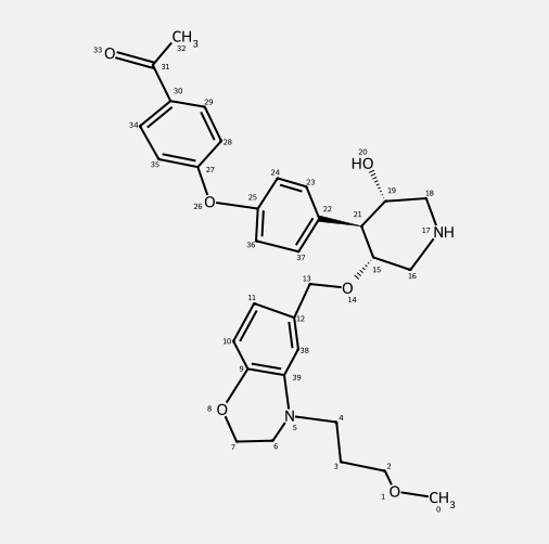 COCCCN1CCOc2ccc(CO[C@H]3CNC[C@@H](O)[C@@H]3c3ccc(Oc4ccc(C(C)=O)cc4)cc3)cc21